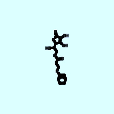 O=C(CCSC1CC2C=CC1C2)OCC(O)[C@H]1OC(=O)C(O)=C1O